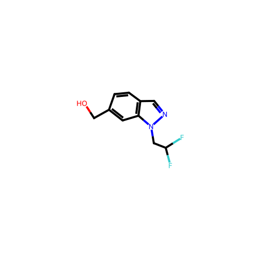 OCc1ccc2cnn(CC(F)F)c2c1